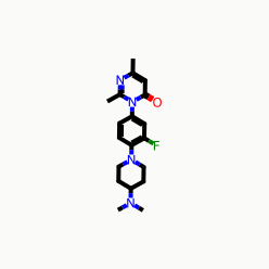 Cc1cc(=O)n(-c2ccc(N3CCC(N(C)C)CC3)c(F)c2)c(C)n1